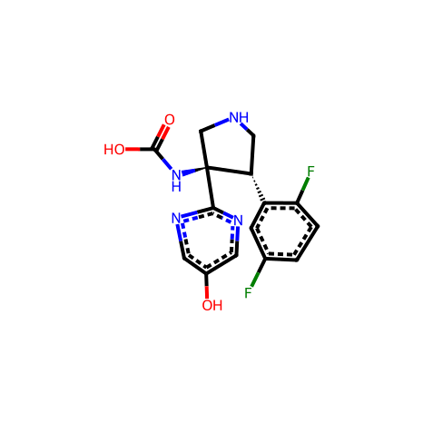 O=C(O)N[C@@]1(c2ncc(O)cn2)CNC[C@@H]1c1cc(F)ccc1F